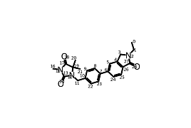 CCN1Cc2cc(-c3ccc(CN4C(=O)N(C)C(=O)C4(C)C)cc3)ccc2C1=O